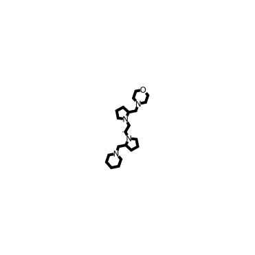 [CH](CN1CCCC1CN1CCOCC1)N1CCCC1CN1CCCCC1